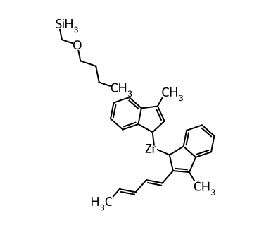 CC=CC=CC1=C(C)c2ccccc2[CH]1[Zr][CH]1C=C(C)c2ccccc21.CCCCOC[SiH3]